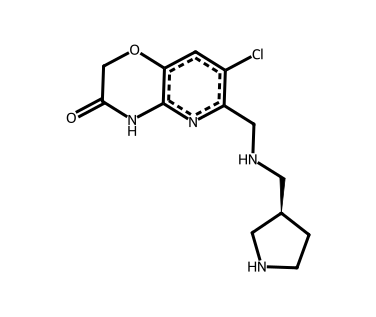 O=C1COc2cc(Cl)c(CNC[C@H]3CCNC3)nc2N1